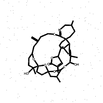 C=C1CCCC2=NCC(C)CCC23CCC(C2C=C(C)C(=O)O2)=C(C)C3/C=C(\C)C(O)CC2OC3(CCC4(OC(CCC4(C)O)C1)O3)CC2C